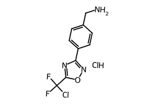 Cl.NCc1ccc(-c2noc(C(F)(F)Cl)n2)cc1